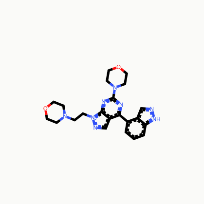 c1cc(-c2nc(N3CCOCC3)nc3c2cnn3CCN2CCOCC2)c2cn[nH]c2c1